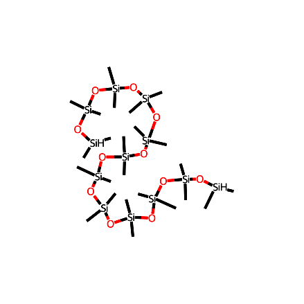 C[SiH](C)O[Si](C)(C)O[Si](C)(C)O[Si](C)(C)O[Si](C)(C)O[Si](C)(C)O[Si](C)(C)O[Si](C)(C)O[Si](C)(C)O[Si](C)(C)O[Si](C)(C)O[SiH](C)C